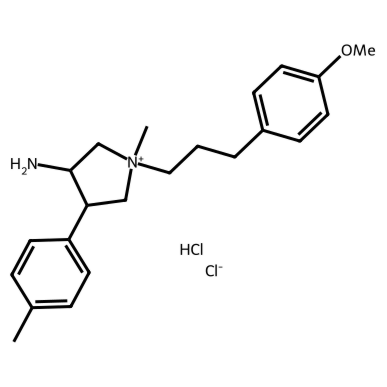 COc1ccc(CCC[N+]2(C)CC(N)C(c3ccc(C)cc3)C2)cc1.Cl.[Cl-]